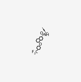 CC#C[C@@H](C)NC(=O)c1ccc2c(Oc3ccc(C(F)(F)F)cc3)cccc2c1